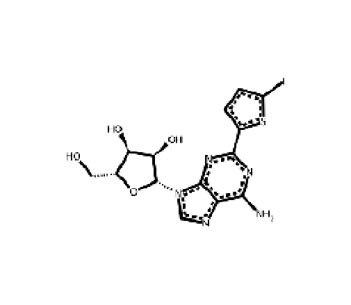 Nc1nc(-c2ccc(I)s2)nc2c1ncn2[C@@H]1O[C@H](CO)[C@@H](O)[C@H]1O